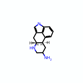 NC1CN[C@@H]2CC3=C[N]c4cccc(c43)[C@H]2C1